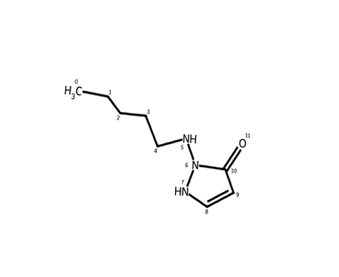 CCCCCNn1[nH]ccc1=O